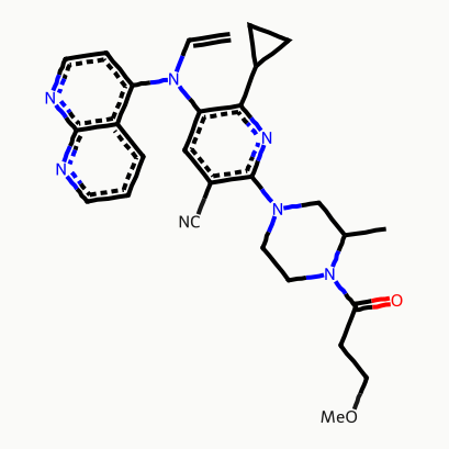 C=CN(c1cc(C#N)c(N2CCN(C(=O)CCOC)C(C)C2)nc1C1CC1)c1ccnc2ncccc12